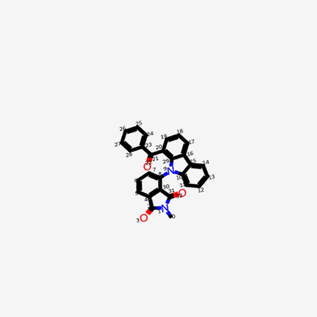 CN1C(=O)c2cccc(-n3c4ccccc4c4cccc(C(=O)c5ccccc5)c43)c2C1=O